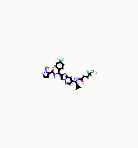 CC(C)n1nccc1C(=O)N[C@H](c1cn2ncc([C@H](NC(=O)CCC(C)(F)F)C3CC3)cc2n1)C1CCC(F)(F)CC1